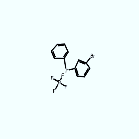 Brc1cccc([I+]c2ccccc2)c1.F[B-](F)(F)F